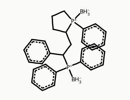 [BH3-][P+]1(c2ccccc2)CCCC1CC(c1ccccc1)[P+]([BH3-])(c1ccccc1)c1ccccc1